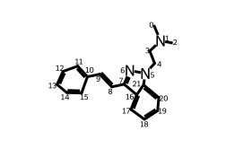 CN(C)CCn1nc(C=Cc2ccccc2)c2ccccc21